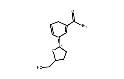 NC(=O)C1=CN([C@H]2CCC(CO)O2)C=CC1